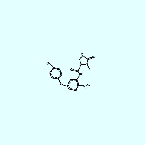 COc1ccc(Oc2ccc(Cl)cc2)cc1NC(=O)C1CNC(=O)N1C